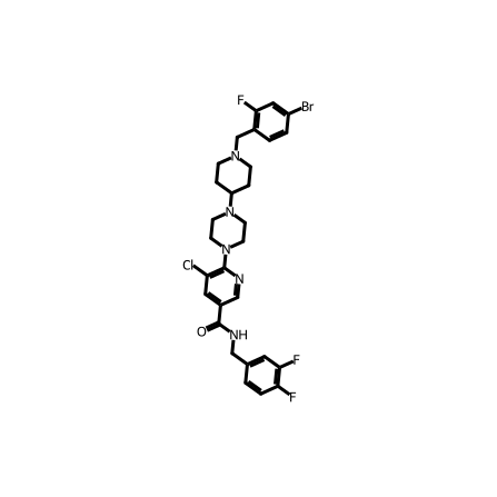 O=C(NCc1ccc(F)c(F)c1)c1cnc(N2CCN(C3CCN(Cc4ccc(Br)cc4F)CC3)CC2)c(Cl)c1